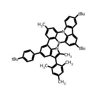 Cc1cc(C)c(-c2c(C)n3c4c(cc(-c5ccc(C(C)(C)C)cc5)cc24)-c2cc(C)cc4c2B3c2cc(C(C)(C)C)cc3c5cc(C(C)(C)C)ccc5n-4c23)c(C)c1